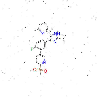 Cc1cccc(-c2[nH]c(C(C)C)nc2-c2ccc(F)c(-c3ccc(S(C)(=O)=O)nc3)c2)n1